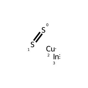 S=S.[Cu].[In]